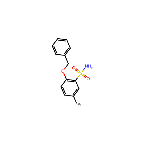 CC(C)c1ccc(OCc2ccccc2)c(S(N)(=O)=O)c1